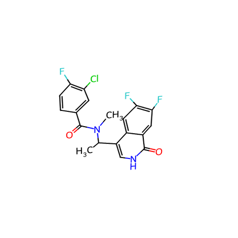 CC(c1c[nH]c(=O)c2cc(F)c(F)cc12)N(C)C(=O)c1ccc(F)c(Cl)c1